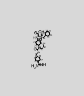 N=C(N)c1ccc(CCC(=O)N2CCCc3cc(NC(C(=O)O)S(=O)(=O)Cc4ccccc4)ccc32)cc1